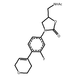 CC(=O)NCC1CN(c2ccc(C3=CCOCC3)c(F)c2)C(=O)O1